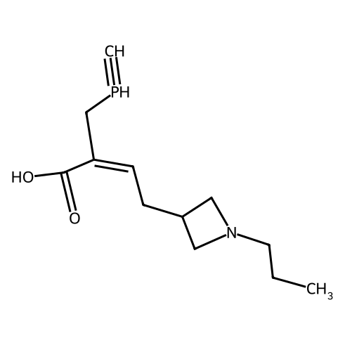 C#[PH]C/C(=C/CC1CN(CCC)C1)C(=O)O